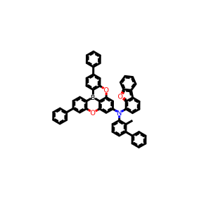 Cc1c(-c2ccccc2)cccc1N(c1cc2c3c(c1)Oc1cc(-c4ccccc4)ccc1B3c1ccc(-c3ccccc3)cc1O2)c1cccc2c1oc1ccccc12